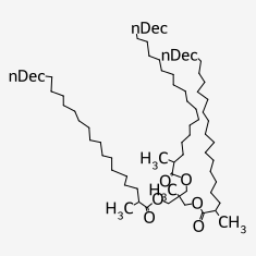 CCCCCCCCCCCCCCCCCCCCCCCCCC(C)C(=O)OCC(C)(COC(=O)C(C)CCCCCCCCCCCCCCCCCCCCCCCCC)COC(=O)C(C)CCCCCCCCCCCCCCCCCCCCCCCCC